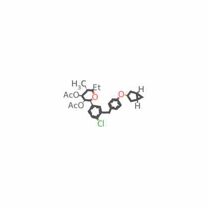 CC[C@H]1O[C@@H](c2ccc(Cl)c(Cc3ccc(O[C@@H]4C[C@@H]5C[C@@H]5C4)cc3)c2)[C@H](OC(C)=O)[C@@H](OC(C)=O)[C@@H]1C